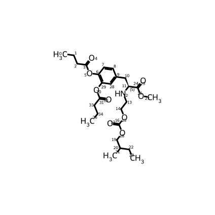 CCCC(=O)Oc1ccc(C[C@H](NCCOC(=O)OCC(C)CC)C(=O)OC)cc1OC(=O)CCC